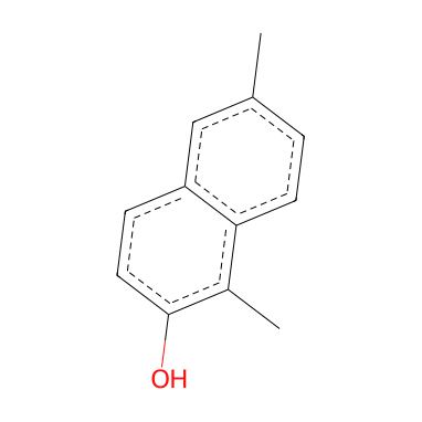 Cc1ccc2c(C)c(O)ccc2c1